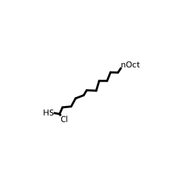 CCCCCCCCCCCCCCCCCCC(S)Cl